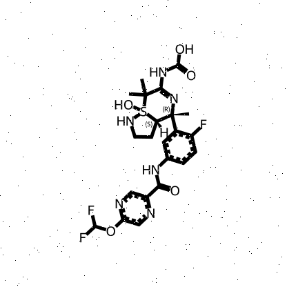 CC1(C)C(NC(=O)O)=N[C@](C)(c2cc(NC(=O)c3cnc(OC(F)F)cn3)ccc2F)[C@@H]2CCNS21O